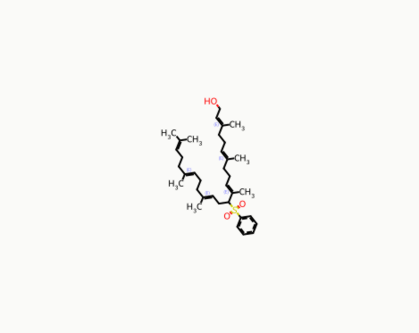 CC(C)=CCC/C(C)=C/CC/C(C)=C/CC(/C(C)=C/CC/C(C)=C/CC/C(C)=C/CO)S(=O)(=O)c1ccccc1